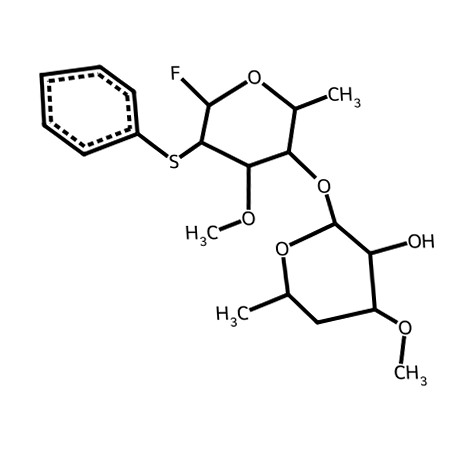 COC1CC(C)OC(OC2C(C)OC(F)C(Sc3ccccc3)C2OC)C1O